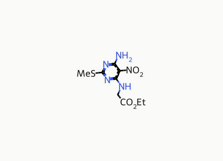 CCOC(=O)CNc1nc(SC)nc(N)c1[N+](=O)[O-]